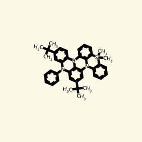 CC(C)(C)c1ccc2c(c1)N(c1ccccc1)c1cc(C(C)(C)C)cc3c1B2c1cccc2c1N3c1ccccc1[Si]2(C)C